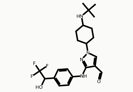 CC(C)(C)NC1CCC(n2cc(C=O)c(Nc3ccc(C(O)C(F)(F)F)cc3)n2)CC1